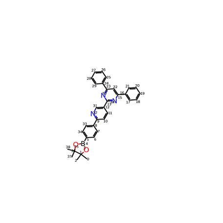 CC1(C)OB(c2ccc(-c3ccc(-c4nc(-c5ccccc5)cc(-c5ccccc5)n4)cn3)cc2)OC1(C)C